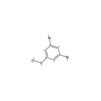 [CH2]COc1cc(Br)cc(Br)c1